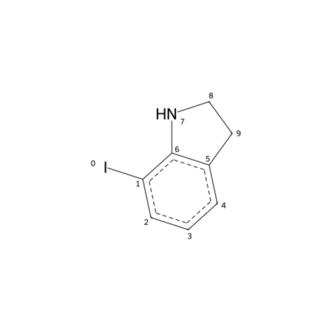 Ic1cccc2c1NCC2